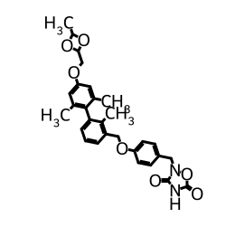 Cc1cc(OCC2OC(C)O2)cc(C)c1-c1cccc(COc2ccc(Cn3oc(=O)[nH]c3=O)cc2)c1C